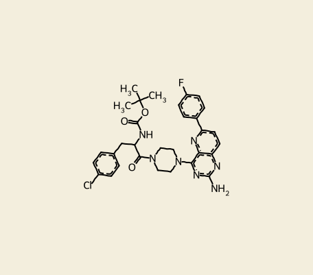 CC(C)(C)OC(=O)NC(Cc1ccc(Cl)cc1)C(=O)N1CCN(c2nc(N)nc3ccc(-c4ccc(F)cc4)nc23)CC1